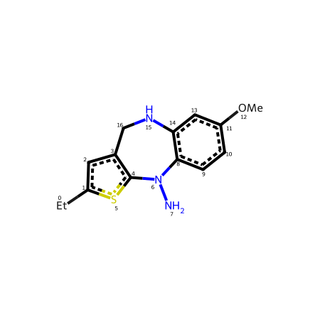 CCc1cc2c(s1)N(N)c1ccc(OC)cc1NC2